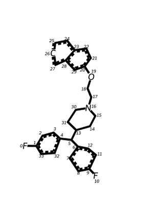 Fc1ccc(C(c2ccc(F)cc2)C2CCN(CCOc3ccc4ccccc4c3)CC2)cc1